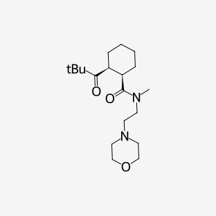 CN(CCN1CCOCC1)C(=O)[C@@H]1CCCC[C@@H]1C(=O)C(C)(C)C